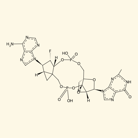 Cc1nc2c(ncn2[C@@H]2O[C@@]34CO[C@@H]2[C@@H]3OP(=O)(O)OCC23C[C@@H]2[C@@H](n2cnc5c(N)ncnc52)[C@H](F)[C@@H]3OP(=O)(O)OC4)c(=O)[nH]1